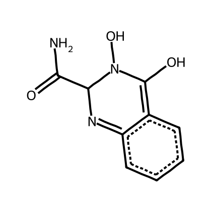 NC(=O)C1N=c2ccccc2=C(O)N1O